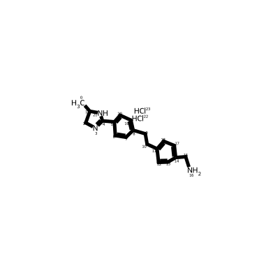 CC1CN=C(c2ccc(CCc3ccc(CN)cc3)cc2)N1.Cl.Cl